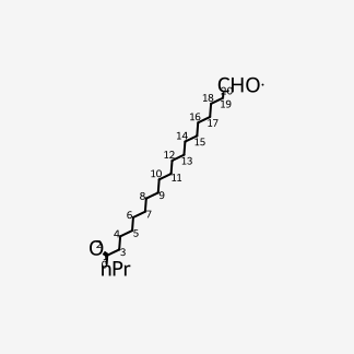 CCCC(=O)CCCCCCCCCCCCCCCCC[C]=O